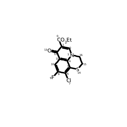 CCOC(=O)c1cn2c3c(c(Cl)c(F)cc3c1=O)SCC2